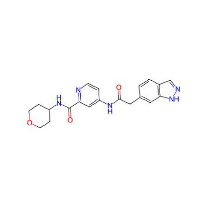 O=C(Cc1ccc2cn[nH]c2c1)Nc1ccnc(C(=O)NC2CCOCC2)c1